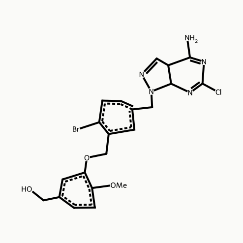 COc1ccc(CO)cc1OCc1cc(CN2N=CC3C(N)=NC(Cl)=NC32)ccc1Br